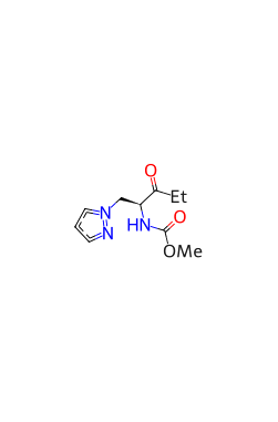 CCC(=O)[C@H](Cn1cccn1)NC(=O)OC